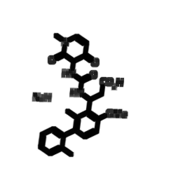 COc1ccc(-c2ccccc2C)c(C)c1C(CC(=O)O)NC(=O)NC1C(=O)C=CN(C)C1=O.[NaH]